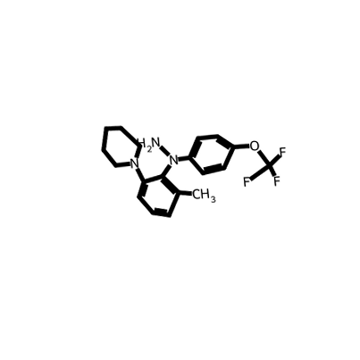 Cc1cccc(N2CCCCC2)c1N(N)c1ccc(OC(F)(F)F)cc1